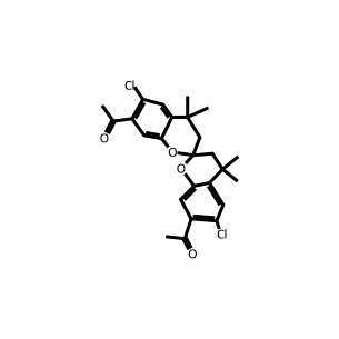 CC(=O)c1cc2c(cc1Cl)C(C)(C)CC1(CC(C)(C)c3cc(Cl)c(C(C)=O)cc3O1)O2